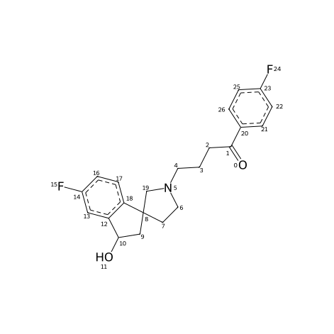 O=C(CCCN1CCC2(CC(O)c3cc(F)ccc32)C1)c1ccc(F)cc1